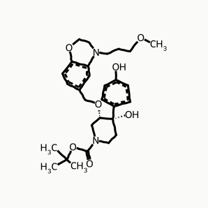 COCCCN1CCOc2ccc(CO[C@H]3CN(C(=O)OC(C)(C)C)CC[C@]3(O)c3ccc(O)cc3)cc21